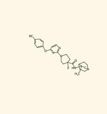 CC1(NC(=O)C2(F)CCN(c3nccc(Oc4ccc(C#N)cc4)n3)CC2)CN2CCC1CC2